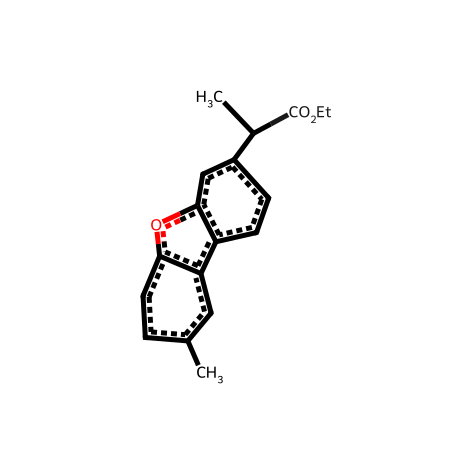 CCOC(=O)C(C)c1ccc2c(c1)oc1ccc(C)cc12